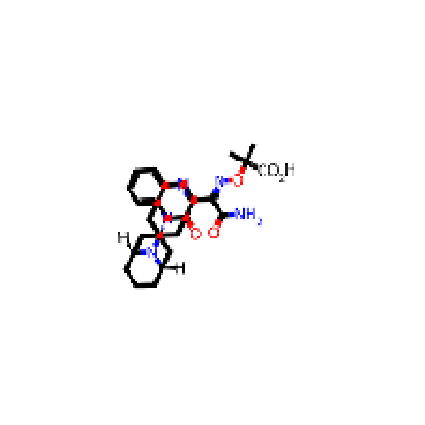 CC(C)(ON=C(C(N)=O)c1nc2ccccc2n([C@H]2C[C@H]3CCC[C@@H](C2)N3C2CC3CCCC(C3)C2)c1=O)C(=O)O